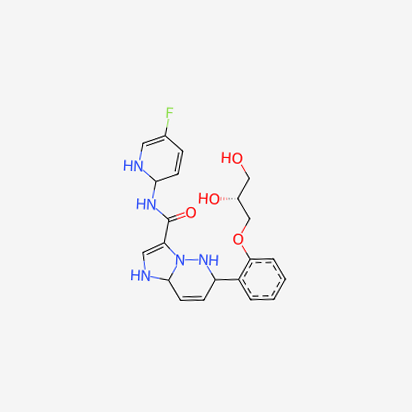 O=C(NC1C=CC(F)=CN1)C1=CNC2C=CC(c3ccccc3OC[C@H](O)CO)NN12